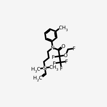 C=C[Si](C)(C)CCCN(C(=O)C(F)(OCF)C(F)(F)F)c1cccc(C)c1